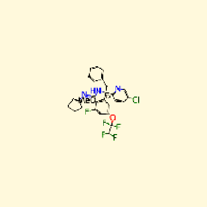 CO/C(=N\C1CCCC1)N[C@@](Cc1ccccc1)(c1cc(F)cc(OC(F)(F)C(F)F)c1)c1ccc(Cl)cn1